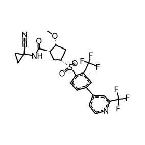 CO[C@@H]1C[C@H](S(=O)(=O)c2ccc(-c3ccnc(C(F)(F)F)c3)cc2C(F)(F)F)C[C@H]1C(=O)NC1(C#N)CC1